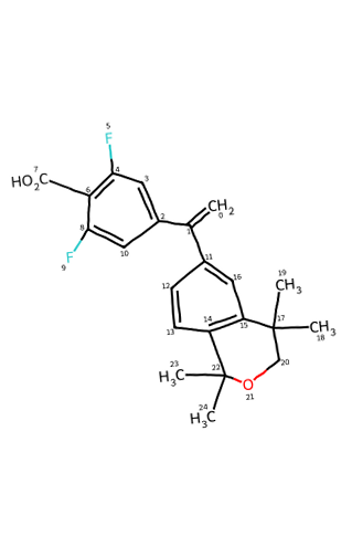 C=C(c1cc(F)c(C(=O)O)c(F)c1)c1ccc2c(c1)C(C)(C)COC2(C)C